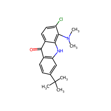 CN(C)c1c(Cl)ccc2c(=O)c3ccc(C(C)(C)C)cc3[nH]c12